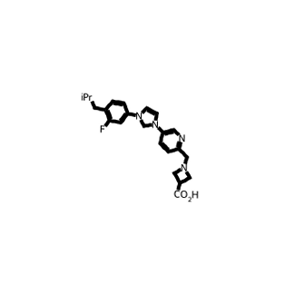 CC(C)Cc1ccc(N2C=CN(c3ccc(CN4CC(C(=O)O)C4)nc3)C2)cc1F